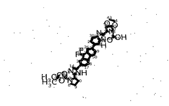 CC(C)(C)OC(=O)N1CCCC1c1ncc(-c2ccc3c(c2)C(F)(F)c2cc(-c4ccc5nc(C6CC7(CN6C(=O)O)OCCO7)[nH]c5c4)ccc2-3)[nH]1